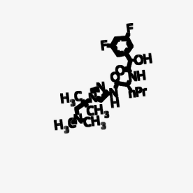 CCC[C@H](NC(=O)[C@H](O)c1cc(F)cc(F)c1)C(=O)Nc1cn(C(C)(C)CN(C)C)cn1